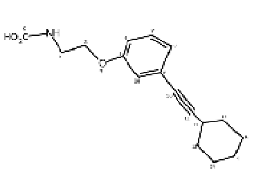 O=C(O)NCCOc1cccc(C#CC2CCCCC2)c1